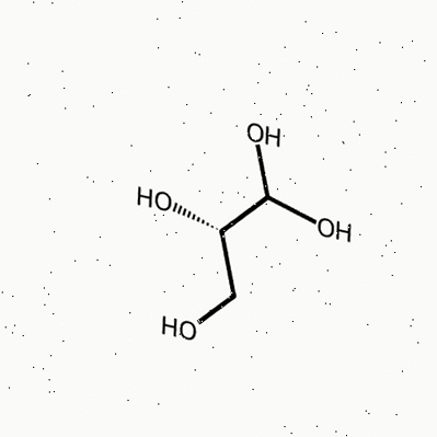 OC[C@H](O)C(O)O